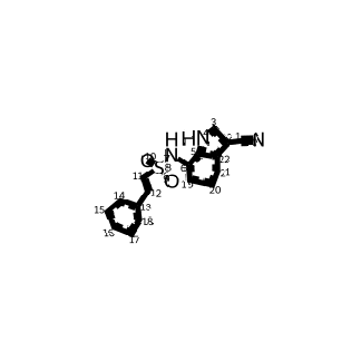 N#Cc1c[nH]c2c(NS(=O)(=O)C=Cc3ccccc3)cccc12